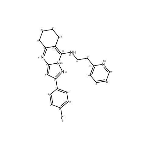 Clc1ccc(-c2cc3nc4c(c(NCCc5ccccn5)n3n2)CCCC4)cc1